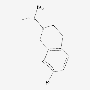 C[C](N1CCc2ccc(Br)cc2C1)C(C)(C)C